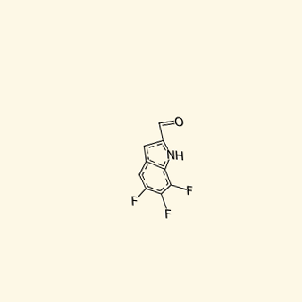 O=Cc1cc2cc(F)c(F)c(F)c2[nH]1